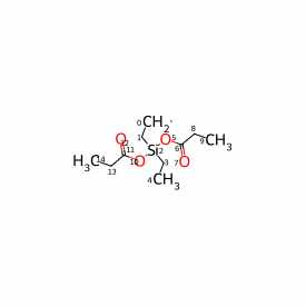 [CH2]C[Si](CC)(OC(=O)CC)OC(=O)CC